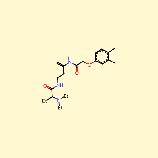 C=C(CCNC(=O)C(CC)N(CC)CC)NC(=O)COc1ccc(C)c(C)c1